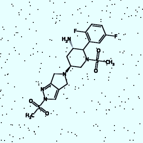 CS(=O)(=O)N1C[C@@H](N2Cc3cn(S(C)(=O)=O)nc3C2)C[C@H](N)C1c1cc(F)ccc1F